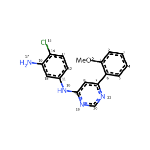 COc1ccccc1-c1cc(Nc2ccc(Cl)c(N)c2)ncn1